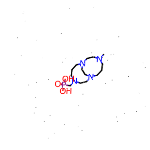 CN1CCCN2CCN(CCCN(CP(=O)(O)O)CC2)CC1